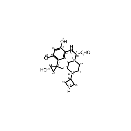 CC1(c2cc(N[C@H](C=O)N3CCN(C4CNC4)CC3)c(O)cc2Cl)CC1.Cl